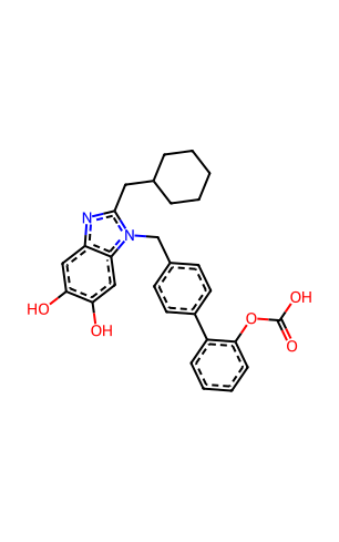 O=C(O)Oc1ccccc1-c1ccc(Cn2c(CC3CCCCC3)nc3cc(O)c(O)cc32)cc1